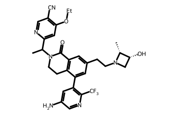 CCOc1cc(C(C)N2CCc3c(cc(CCN4C[C@@H](O)[C@H]4C)cc3-c3cc(N)cnc3C(F)(F)F)C2=O)ncc1C#N